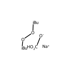 CCC(C)OOC(C)CC.O=C([O-])O.[Na+]